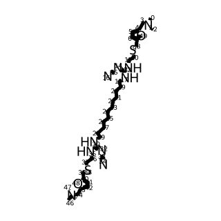 CN(C)Cc1ccc(CSCCNC(=NC#N)NCCCCCCCCCCCCNC(=NC#N)NCCSCc2ccc(CN(C)C)o2)o1